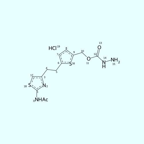 CC(=O)Nc1nc(CCc2ccc(COC(=O)NN)s2)cs1.Cl